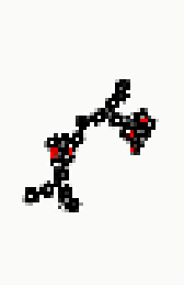 CC1(C)c2ccccc2-c2ccc(N(c3ccc(-c4cccc(-c5ccc6ccc7c(c6c5)C(C)(C)c5ccccc5C75c6ccccc6Oc6c(-c7ccc(N(c8ccc(-c9ccccc9)cc8)c8ccc9c(c8)oc8ccccc89)cc7)cccc65)c4)cc3)c3ccc(-c4cccc5c4Oc4ccccc4C54c5ccccc5C(C)(C)c5c4ccc4ccccc54)cc3)cc21